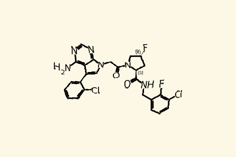 Nc1ncnc2c1c(-c1ccccc1Cl)cn2CC(=O)N1C[C@H](F)C[C@H]1C(=O)NCc1cccc(Cl)c1F